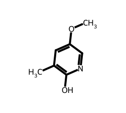 COc1cnc(O)c(C)c1